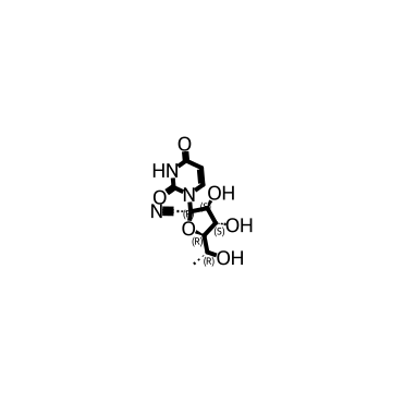 C[C@@H](O)[C@H]1O[C@@](C#N)(n2ccc(=O)[nH]c2=O)[C@@H](O)[C@@H]1O